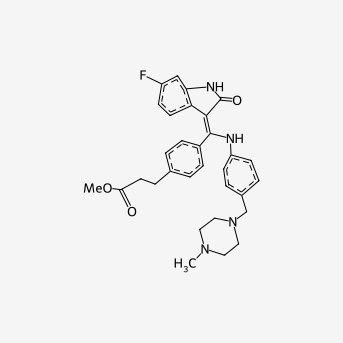 COC(=O)CCc1ccc(/C(Nc2ccc(CN3CCN(C)CC3)cc2)=C2/C(=O)Nc3cc(F)ccc32)cc1